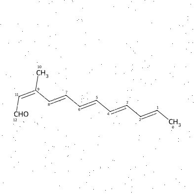 CC=CC=CC=CC=CC(C)=CC=O